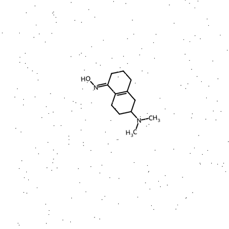 CN(C)C1CCC2=C(CCCC2=NO)C1